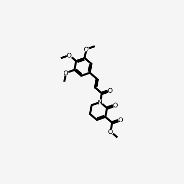 COC(=O)C1=CCCN(C(=O)/C=C/c2cc(OC)c(OC)c(OC)c2)C1=O